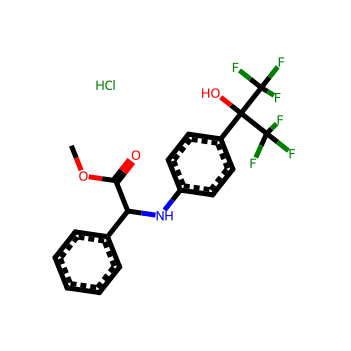 COC(=O)C(Nc1ccc(C(O)(C(F)(F)F)C(F)(F)F)cc1)c1ccccc1.Cl